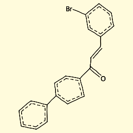 O=C(C=Cc1cccc(Br)c1)c1ccc(-c2ccccc2)cc1